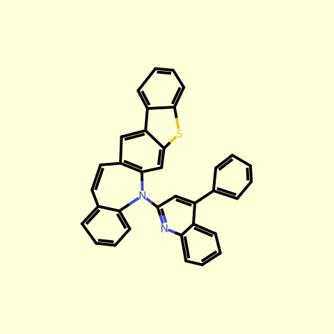 C1=Cc2cc3c(cc2N(c2cc(-c4ccccc4)c4ccccc4n2)c2ccccc21)sc1ccccc13